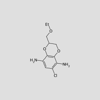 CCOCC1COc2c(N)c(Cl)cc(N)c2O1